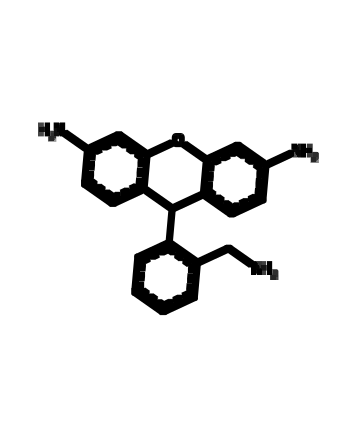 NCc1ccccc1C1c2ccc(N)cc2Oc2cc(N)ccc21